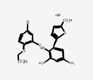 Br.Cc1cc(N)c(O)c(-c2ccc(C(=O)O)s2)c1.O=C(O)COc1ccc(Cl)cc1Cl